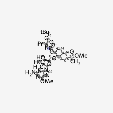 COC(=O)[C@@H](C)c1ccc2c(OC[C@H]3OC(n4cnc5c(OC)nc(N)nc54)[C@](C)(O)[C@@H]3O)c(O/[P+]([O-])=N/[C@H](C(=O)OCC(C)(C)C)C(C)C)ccc2c1